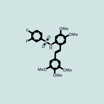 COc1cc(C=Cc2cc(OC)c(OC)c(OC)c2)c(NS(=O)(=O)c2ccc(F)c(F)c2)cc1OC